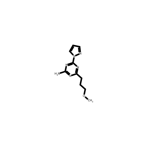 COCCCc1nc(N)nc(-n2cccn2)n1